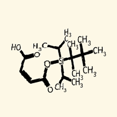 CC(C)[Si](OC(=O)/C=C\C(=O)O)(C(C)C)C(C)(C)C(C)(C)C